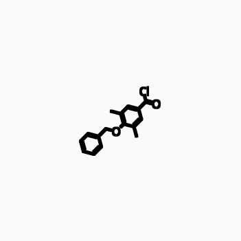 Cc1cc(C(=O)Cl)cc(C)c1OCc1ccccc1